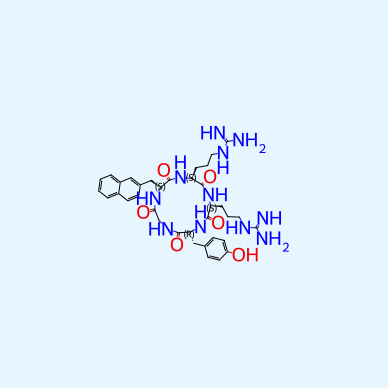 N=C(N)NCCC[C@@H]1NC(=O)[C@H](Cc2ccc3ccccc3c2)NC(=O)CNC(=O)[C@@H](Cc2ccc(O)cc2)NC(=O)[C@H](CCCNC(=N)N)NC1=O